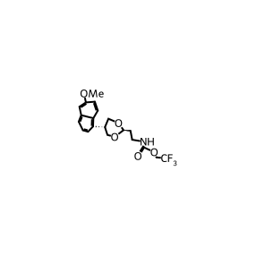 COc1ccc2c(cccc2[C@H]2CO[C@H](CCNC(=O)OCC(F)(F)F)OC2)c1